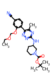 CCOCOc1cc(C#N)ccc1-c1nnc(N[C@@H]2CCCN(C(=O)OC(C)(C)C)C2)nc1C